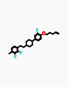 C=CCCCOc1ccc(C2CCC(CCc3ccc(C)c(F)c3F)CC2)cc1F